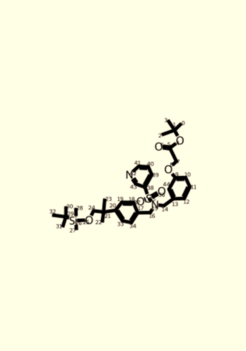 CC(C)(C)OC(=O)COc1cccc(CN(Cc2ccc(C(C)(C)CO[Si](C)(C)C(C)(C)C)cc2)S(=O)(=O)c2cccnc2)c1